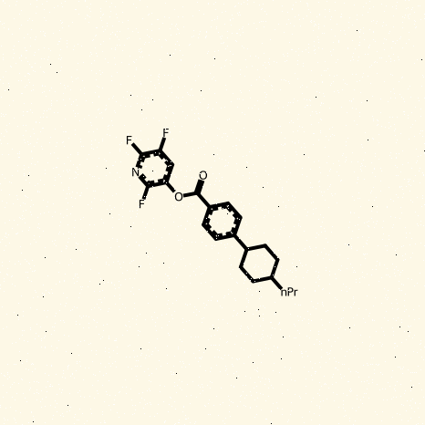 CCCC1CCC(c2ccc(C(=O)Oc3cc(F)c(F)nc3F)cc2)CC1